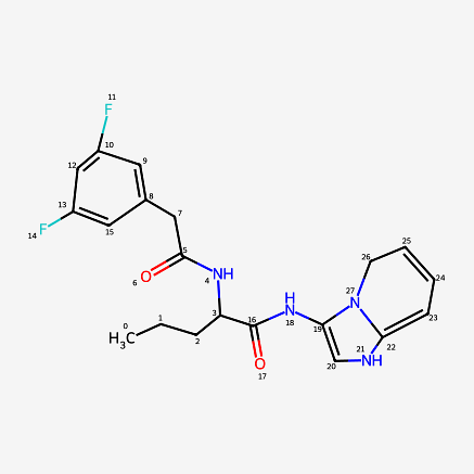 CCCC(NC(=O)Cc1cc(F)cc(F)c1)C(=O)NC1=CNC2=CC=CCN21